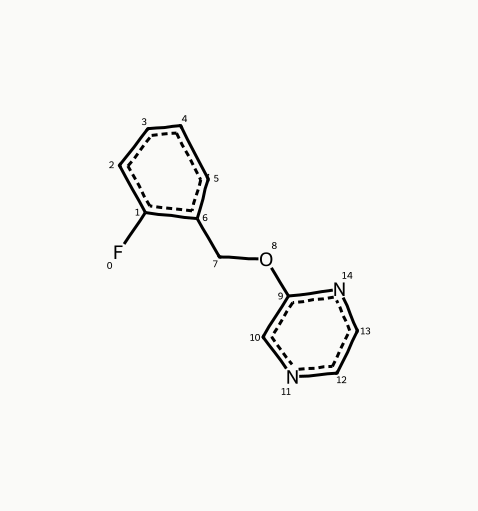 Fc1ccc[c]c1COc1cnccn1